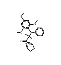 COc1cc(OC)c(C(c2ccccc2)C(C)(C)C(=O)N2C3CCC2CC3)c(OC)c1